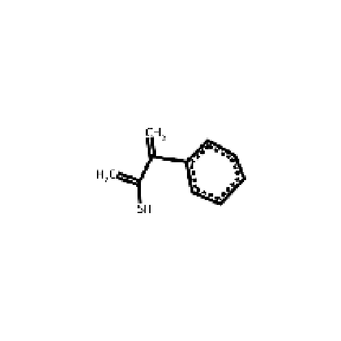 C=C(S)C(=C)c1ccccc1